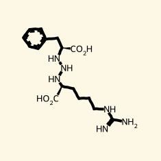 N=C(N)NCCCC[C@H](NNN[C@@H](Cc1ccccc1)C(=O)O)C(=O)O